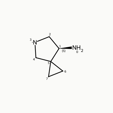 N[C@@H]1C[N]CC12CC2